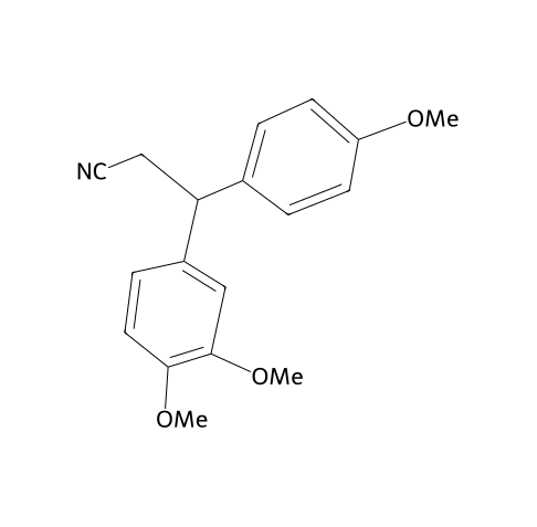 COc1ccc(C(CC#N)c2ccc(OC)c(OC)c2)cc1